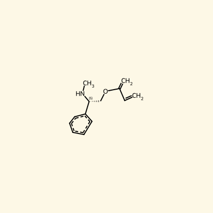 C=CC(=C)OC[C@@H](NC)c1ccccc1